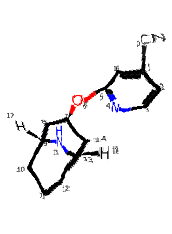 N#Cc1ccnc(O[C@@H]2C[C@H]3CCC[C@@H](C2)N3)c1